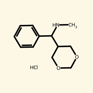 CNC(c1ccccc1)C1COCOC1.Cl